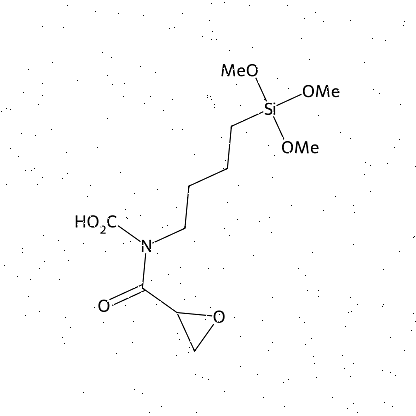 CO[Si](CCCCN(C(=O)O)C(=O)C1CO1)(OC)OC